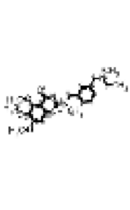 CCN(C)Cc1cccc(CN(C)c2nc(=O)c3c(OC)c(OC)c(OC)cc3[nH]2)c1